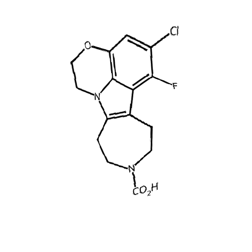 O=C(O)N1CCc2c(n3c4c(cc(Cl)c(F)c24)OCC3)CC1